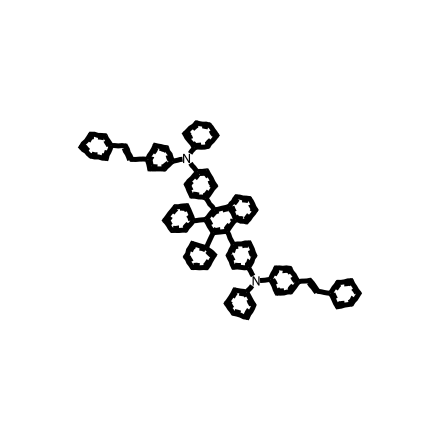 C(=C\c1ccc(N(c2ccccc2)c2ccc(-c3c(-c4ccccc4)c(-c4ccccc4)c(-c4ccc(N(c5ccccc5)c5ccc(/C=C/c6ccccc6)cc5)cc4)c4ccccc34)cc2)cc1)/c1ccccc1